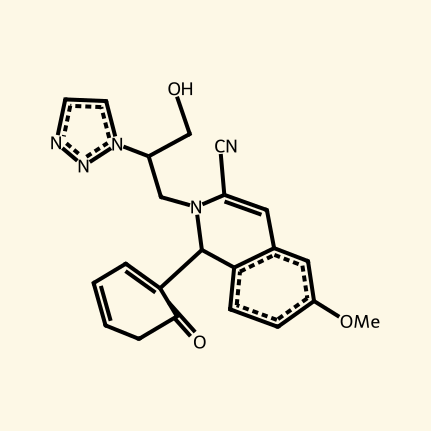 COc1ccc2c(c1)C=C(C#N)N(CC(CO)n1ccnn1)C2C1=CC=CCC1=O